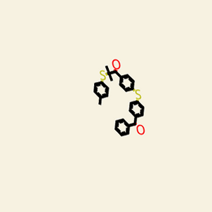 Cc1ccc(SC(C)(C)C(=O)c2ccc(Sc3ccc(C(=O)c4ccccc4)cc3)cc2)cc1